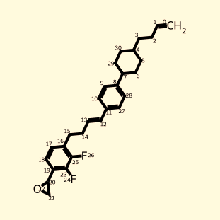 C=CCCC1CCC(c2ccc(/C=C/CCc3ccc(C4CO4)c(F)c3F)cc2)CC1